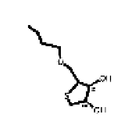 CCCCOCC1SC[C@H](O)[C@@H]1O